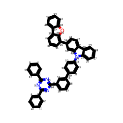 c1ccc(-c2nc(-c3ccccc3)nc(-c3cccc(-c4ccc(-n5c6ccccc6c6ccc(-c7cccc8c7oc7ccccc78)cc65)cc4)c3)n2)cc1